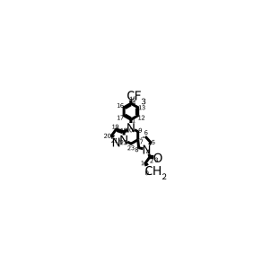 C=CC(=O)N1CC[C@@]2(C1)CN(c1ccc(C(F)(F)F)cc1)c1ccnn1C2